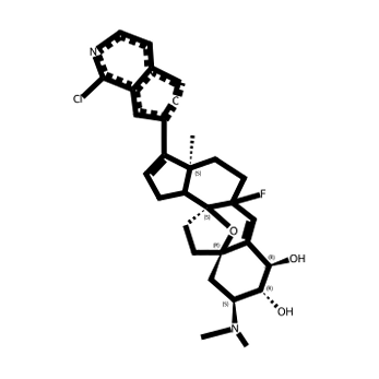 CN(C)[C@H]1C[C@@]23CC[C@]4(O2)C2CC=C(c5ccc6ccnc(Cl)c6c5)[C@@]2(C)CCC4(F)C=C3[C@@H](O)[C@@H]1O